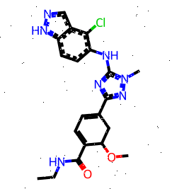 CCNC(=O)C1=CC=C(c2nc(Nc3ccc4[nH]ncc4c3Cl)n(C)n2)CC1OC